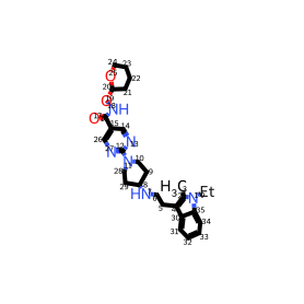 CCn1c(C)c(CCNC2CCN(c3ncc(C(=O)NOC4CCCCO4)cn3)CC2)c2ccccc21